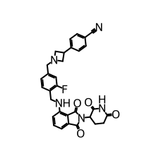 N#Cc1ccc(C2CN(Cc3ccc(CNc4cccc5c4C(=O)N(C4CCC(=O)NC4=O)C5=O)c(F)c3)C2)cc1